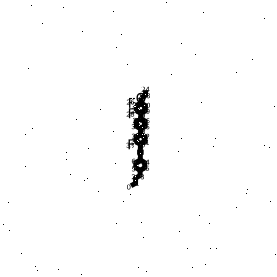 CCCCC1CC=C(C#Cc2ccc(-c3ccc(-c4ccc(OCC)c(F)c4F)cc3)cc2F)CC1